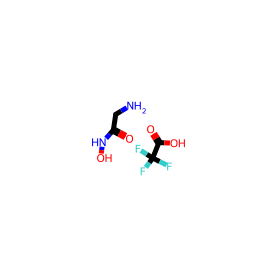 NCC(=O)NO.O=C(O)C(F)(F)F